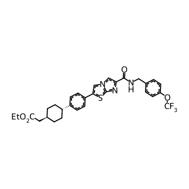 CCOC(=O)C[C@H]1CC[C@H](c2ccc(-c3cn4cc(C(=O)NCc5ccc(OC(F)(F)F)cc5)nc4s3)cc2)CC1